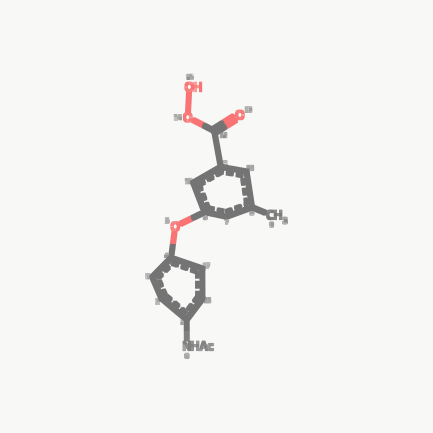 CC(=O)Nc1ccc(Oc2cc(C)cc(C(=O)OO)c2)cc1